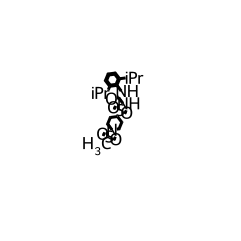 CC(C)c1cccc(C(C)C)c1NC(=O)NS(=O)(=O)C1CCN(S(C)(=O)=O)CC1